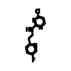 Fc1ccc(CCNc2nccc(Cl)n2)nc1